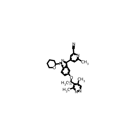 Cc1cc(-c2nn(C3CCCCO3)c3ccc(O[C@@H](C)c4c(C)cnnc4C)cc23)cc(C#N)n1